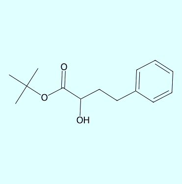 CC(C)(C)OC(=O)C(O)CCc1ccccc1